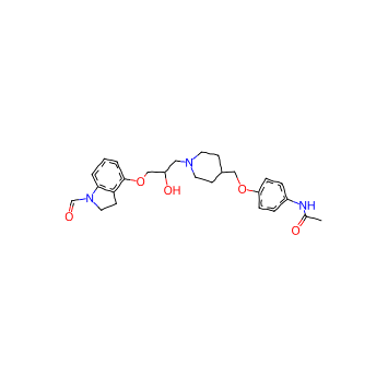 CC(=O)Nc1ccc(OCC2CCN(CC(O)COc3cccc4c3CCN4C=O)CC2)cc1